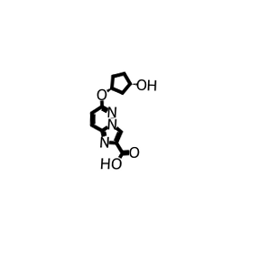 O=C(O)c1cn2nc(O[C@H]3CC[C@H](O)C3)ccc2n1